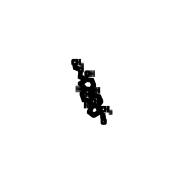 CCOC[C@@]1(O)CC[C@H]2[C@H](CC[C@@H]3[C@@H]2CC[C@]2(C)[C@@H](C=O)CC[C@@H]32)C1